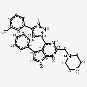 Fc1cccc(-c2nnn(-c3nc(CN4CCOCC4)nc4scc(-c5ccccc5)c34)n2)c1